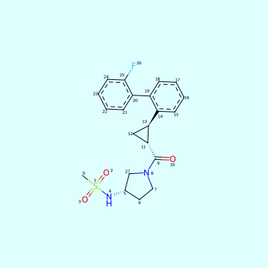 CS(=O)(=O)N[C@H]1CCN(C(=O)[C@@H]2C[C@H]2c2ccccc2-c2ccccc2F)C1